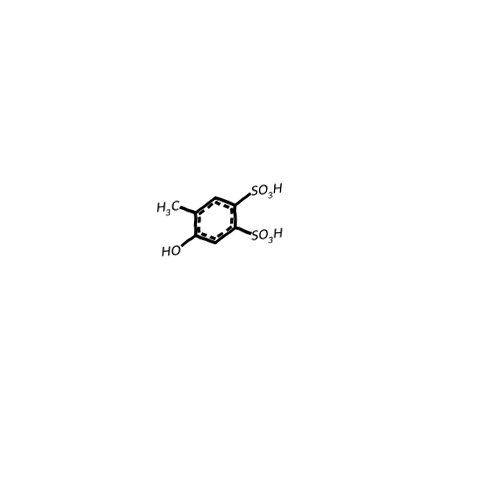 Cc1cc(S(=O)(=O)O)c(S(=O)(=O)O)cc1O